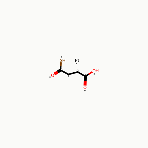 O=C(O)CCC(=O)S.[Pt]